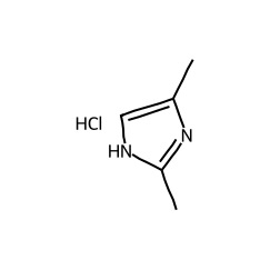 Cc1c[nH]c(C)n1.Cl